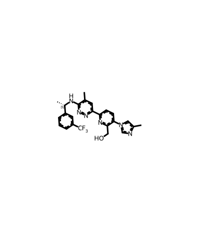 Cc1cn(-c2ccc(-c3cc(C)c(N[C@@H](C)c4cccc(C(F)(F)F)c4)nn3)nc2CO)cn1